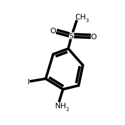 CS(=O)(=O)c1ccc(N)c(I)c1